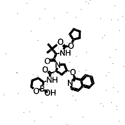 CC(C)(C)[C@H](NC(=O)OC1CCCC1)C(=O)N1C[C@H](Oc2nccc3ccccc23)C[C@H]1C(=O)N[C@H]1CCCOB1O